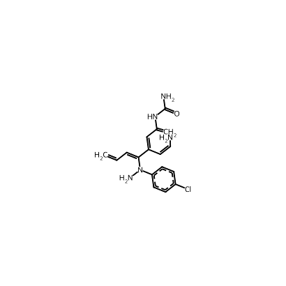 C=C/C=C(C(/C=C\N)=C/C(=C)NC(N)=O)\N(N)c1ccc(Cl)cc1